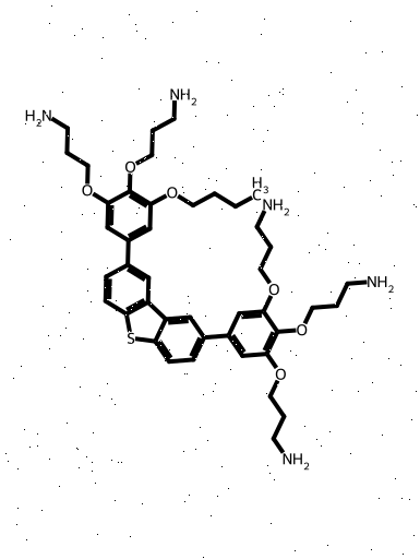 CCCCOc1cc(-c2ccc3sc4ccc(-c5cc(OCCCN)c(OCCCN)c(OCCCN)c5)cc4c3c2)cc(OCCCN)c1OCCCN